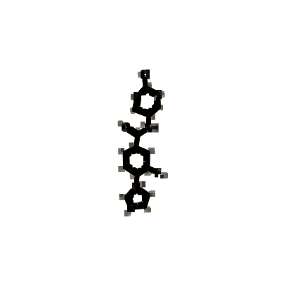 O=C(Nc1cnc(Cl)nc1)c1ccc(-n2ccnc2)c(F)c1